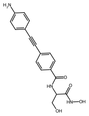 Nc1ccc(C#Cc2ccc(C(=O)NC(CO)C(=O)NO)cc2)cc1